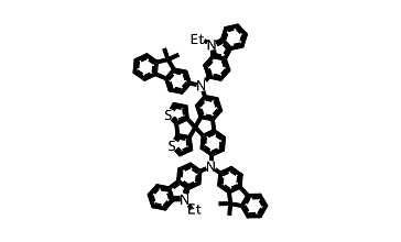 CCn1c2ccccc2c2ccc(N(c3ccc4c(c3)C(C)(C)c3ccccc3-4)c3ccc4c(c3)C3(c5cc(N(c6ccc7c(c6)C(C)(C)c6ccccc6-7)c6ccc7c8ccccc8n(CC)c7c6)ccc5-4)c4ccsc4-c4sccc43)cc21